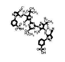 [C-]#[N+]c1cnn(-c2cccc(S(=O)(=O)O)c2)c1N=Nc1c(C(C)(C)C)nn(-c2nc(N(C)C)nc(-n3nc(C(C)(C)C)c(N=Nc4c(C#N)cnn4-c4cccc(S(=O)(=O)O)c4)c3N)n2)c1N